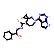 O=C(NCC(O)C1CCCCC1)[C@H]1CCN(c2ncnc3[nH]ccc23)CC12CC2